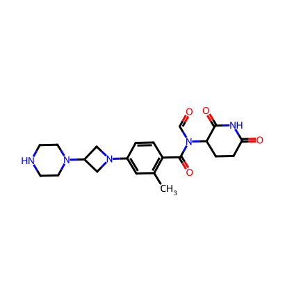 Cc1cc(N2CC(N3CCNCC3)C2)ccc1C(=O)N(C=O)C1CCC(=O)NC1=O